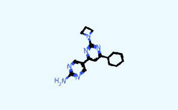 Nc1ncc(-c2cc(C3CCCCC3)nc(N3CCC3)n2)cn1